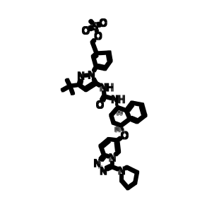 CC(C)(C)c1cc(NC(=O)N[C@H]2CC[C@@H](Oc3ccc4nnc(N5CCCCC5)n4c3)c3ccccc32)n(-c2cccc(COS(C)(=O)=O)c2)n1